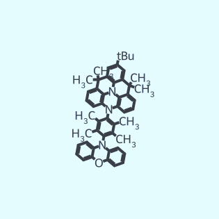 Cc1c(C)c(N2c3cccc4c3N3c5c2cccc5C(C)(C)c2cc(C(C)(C)C)cc(c23)C4(C)C)c(C)c(C)c1N1c2ccccc2Oc2ccccc21